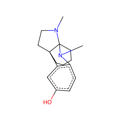 CN1CCC23CCCCC12N(C)c1ccc(O)cc13